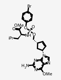 COC(=O)[C@H](CC(C)C)NP(=O)(OC[C@@H]1C=C[C@H](n2cnc3c(OC)nc(N)nc32)C1)Oc1ccc(Br)cc1